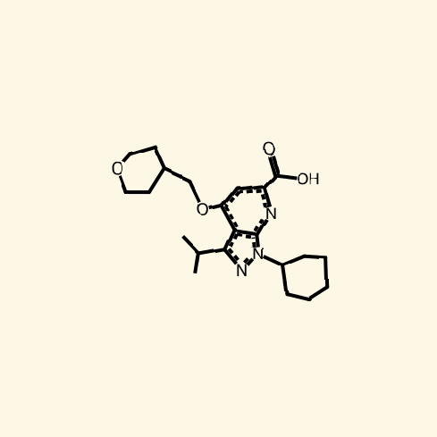 CC(C)c1nn(C2CCCCC2)c2nc(C(=O)O)cc(OCC3CCOCC3)c12